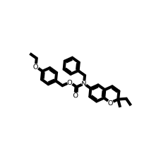 CCOc1ccc(COC(=O)N(Cc2ccccc2)c2ccc3c(c2)C=CC(C)(CC)O3)cc1